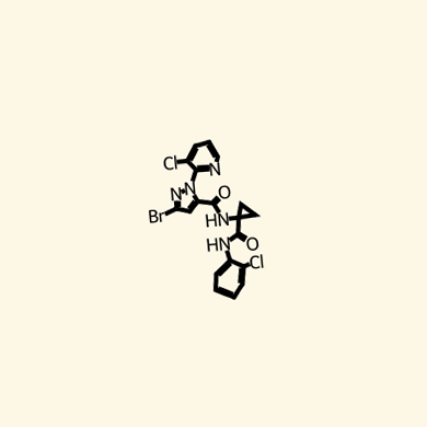 O=C(NC1(C(=O)Nc2ccccc2Cl)CC1)c1cc(Br)nn1-c1ncccc1Cl